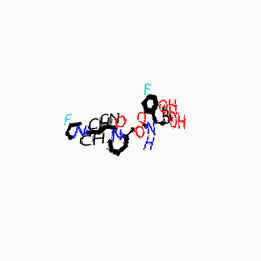 CC(C)(C=C(C#N)C(=O)N1CCCC[C@@H]1COC(=O)N[C@H](CB(O)O)c1ccc(F)cc1)N1CC[C@H](F)C1